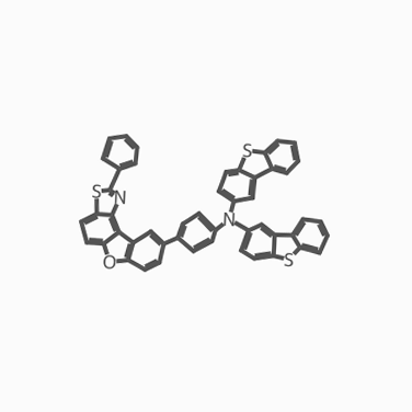 c1ccc(-c2nc3c(ccc4oc5ccc(-c6ccc(N(c7ccc8sc9ccccc9c8c7)c7ccc8sc9ccccc9c8c7)cc6)cc5c43)s2)cc1